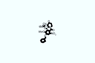 COc1cc(C(=O)N2CCC(=O)C[C@H]2CO[Si](C)(C)C(C)(C)C)c([N+](=O)[O-])cc1OCc1ccccc1